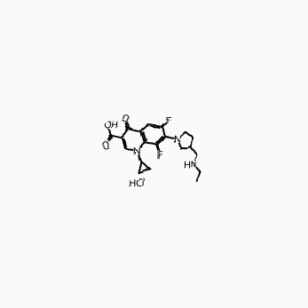 CCNCC1CCN(c2c(F)cc3c(=O)c(C(=O)O)cn(C4CC4)c3c2F)C1.Cl